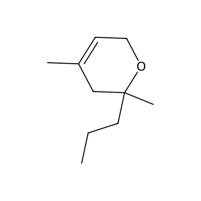 CCCC1(C)CC(C)=CCO1